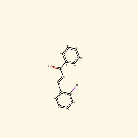 O=C(C=Cc1ccccc1I)c1ccccc1